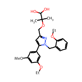 CCOc1cc(OC)cc(-c2cc(COC(C)(C)C(O)O)nn2Cc2ccccc2OCC)c1